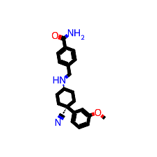 COc1cccc([C@]2(C#N)CC[C@@H](NCc3ccc(C(N)=O)cc3)CC2)c1